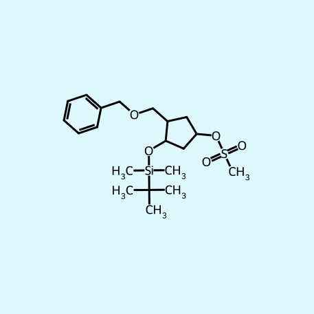 CC(C)(C)[Si](C)(C)OC1CC(OS(C)(=O)=O)CC1COCc1ccccc1